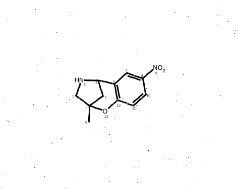 CC12CNC(C1)c1cc([N+](=O)[O-])ccc1O2